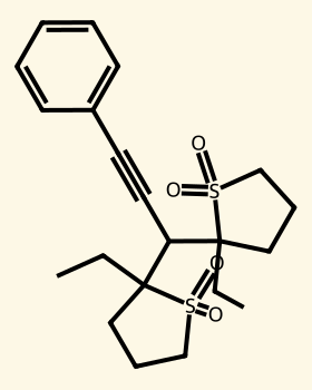 CCC1(C(C#Cc2ccccc2)C2(CC)CCCS2(=O)=O)CCCS1(=O)=O